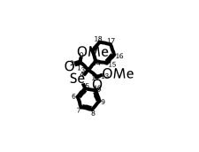 COC(=O)C([Se]c1ccccc1)(C(=O)OC)C1C=CCCC1